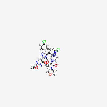 CCOc1ncc(C2=N[C@H](c3ccc(Cl)cc3)[C@H](c3ccc(Cl)cc3)N2C(=O)C2CNCCN2CC(=O)N2CCOCC2)c(OCC)n1